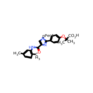 CCCCCn1cc(C(=O)Nc2cc(C)ccc2C)nc1-c1ccc(OC(C)(C)C(=O)O)cc1